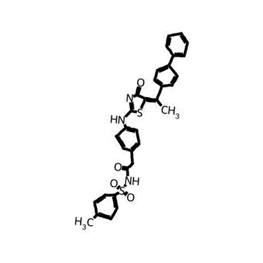 C/C(=C1\SC(Nc2ccc(CC(=O)NS(=O)(=O)c3ccc(C)cc3)cc2)=NC1=O)c1ccc(-c2ccccc2)cc1